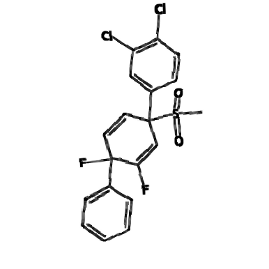 CS(=O)(=O)C1(c2ccc(Cl)c(Cl)c2)C=CC(F)(c2ccccc2)C(F)=C1